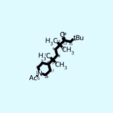 CC(=O)N1CCC(C(C)(C)CCC(C)(C)C(=O)CC(C)(C)C)CC1